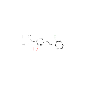 CC(C)c1ccc(C=Cc2ccccc2F)cc1O